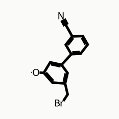 N#Cc1cccc(-c2cc([O])cc(CBr)c2)c1